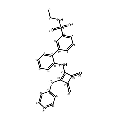 CCNS(=O)(=O)c1cccc(-c2cc[c]cc2Nc2c(Nc3ccncc3)c(=O)c2=O)c1